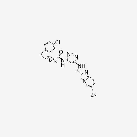 O=C(Nc1cc(NCc2cn3cc(C4CC4)ccc3n2)ncn1)[C@@H]1C[C@]12CCc1ccc(Cl)cc12